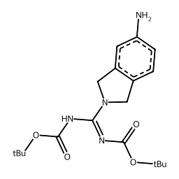 CC(C)(C)OC(=O)/N=C(/NC(=O)OC(C)(C)C)N1Cc2ccc(N)cc2C1